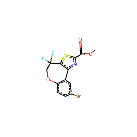 COC(=O)c1nc2c(s1)C(F)(F)COc1ccc(Br)cc1-2